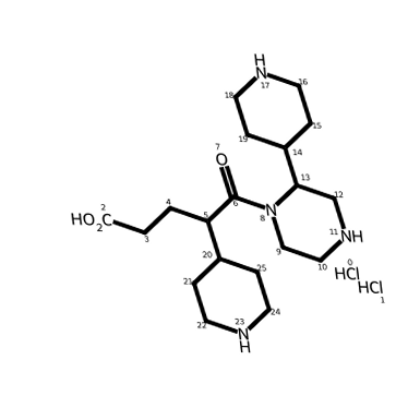 Cl.Cl.O=C(O)CCC(C(=O)N1CCNCC1C1CCNCC1)C1CCNCC1